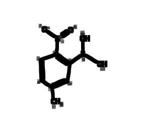 Cc1ccc([N+](=O)[O-])c(B(O)O)c1